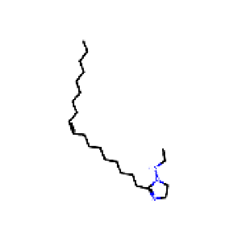 CCCCCCCC/C=C\CCCCCCCCC1=NCCN1NCC